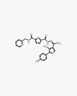 C/C(=N/NC(=O)c1ccc(C(=O)NCc2ccccn2)s1)c1csc(-c2ccc(Cl)cc2)c1O